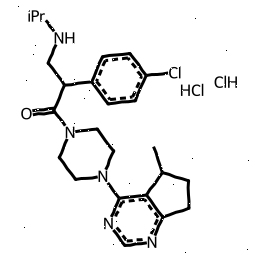 CC(C)NCC(C(=O)N1CCN(c2ncnc3c2C(C)CC3)CC1)c1ccc(Cl)cc1.Cl.Cl